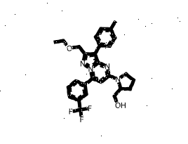 CCOCc1nn2c(-c3cccc(C(F)(F)F)c3)cc(N3CCCC3CO)nc2c1-c1ccc(C)cc1